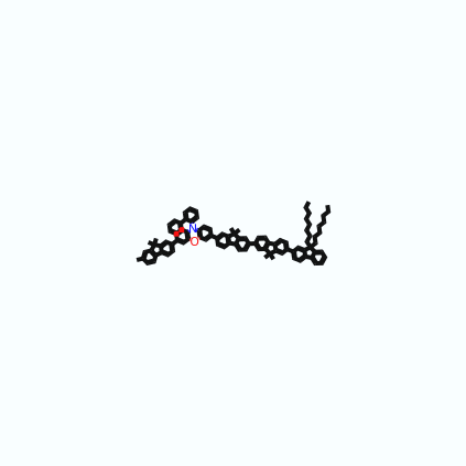 CCCCCCCCC1(CCCCCCCC)c2ccccc2-c2ccc(-c3ccc4c(c3)C(C)(C)c3cc(-c5ccc6c(c5)C(C)(C)c5cc(-c7ccc8c(c7)Oc7cc(-c9ccc%10c(c9)C(C)(C)c9cc(C)ccc9-%10)ccc7N8c7ccccc7-c7ccccc7)ccc5-6)ccc3-4)cc21